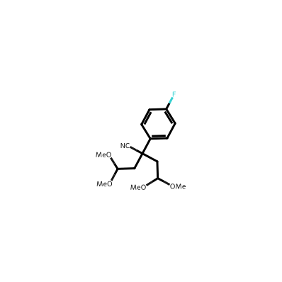 COC(CC(C#N)(CC(OC)OC)c1ccc(F)cc1)OC